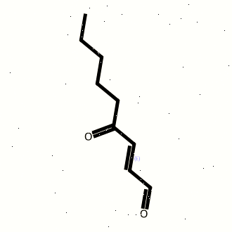 CCCCCC(=O)/C=C/C=O